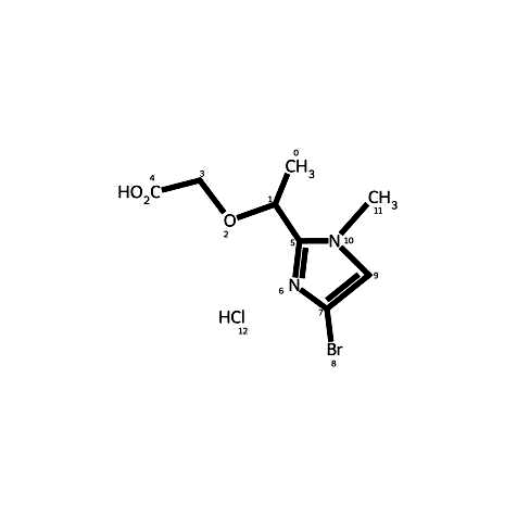 CC(OCC(=O)O)c1nc(Br)cn1C.Cl